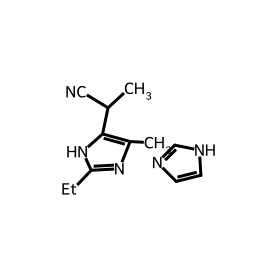 CCc1nc(C)c(C(C)C#N)[nH]1.c1c[nH]cn1